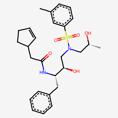 Cc1cccc(S(=O)(=O)N(C[C@@H](O)[C@H](Cc2ccccc2)NC(=O)CC2C=CCC2)C[C@@H](C)O)c1